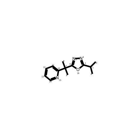 CC(C)c1nnc(C(C)(C)c2ccccn2)o1